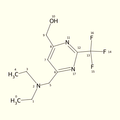 CCN(CC)Cc1cc(CO)nc(C(F)(F)F)n1